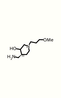 COCCCN1CC[C@@H](CN)C(O)C1